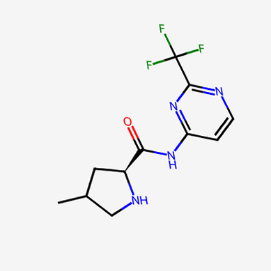 CC1CN[C@H](C(=O)Nc2ccnc(C(F)(F)F)n2)C1